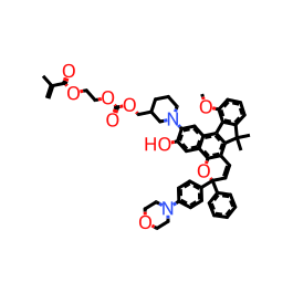 C=C(C)C(=O)OCCOC(=O)OCC1CCCN(c2cc3c4c(c5c(c3cc2O)OC(c2ccccc2)(c2ccc(N3CCOCC3)cc2)C=C5)C(C)(C)c2cccc(OC)c2-4)C1